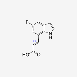 O=C(O)/C=C/c1cc(F)cc2cc[nH]c12